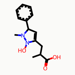 CC(CC1=CC(c2ccccc2)N(C)N1O)C(=O)O